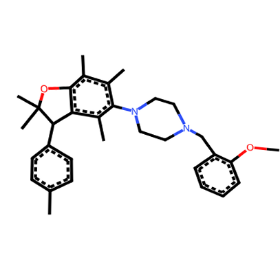 COc1ccccc1CN1CCN(c2c(C)c(C)c3c(c2C)C(c2ccc(C)cc2)C(C)(C)O3)CC1